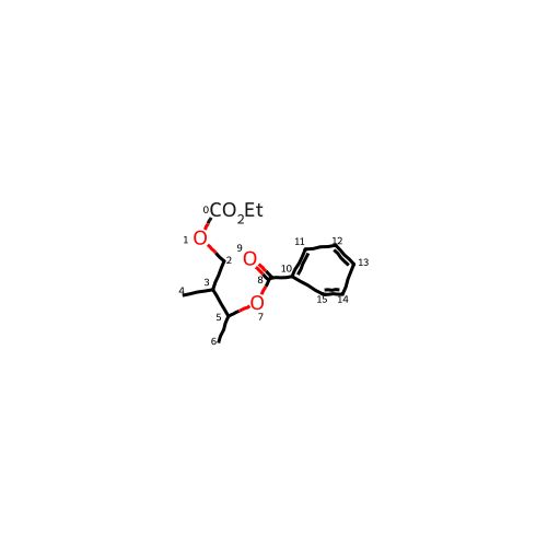 CCOC(=O)OCC(C)C(C)OC(=O)c1ccccc1